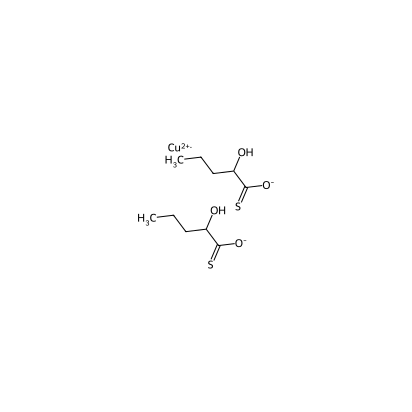 CCCC(O)C([O-])=S.CCCC(O)C([O-])=S.[Cu+2]